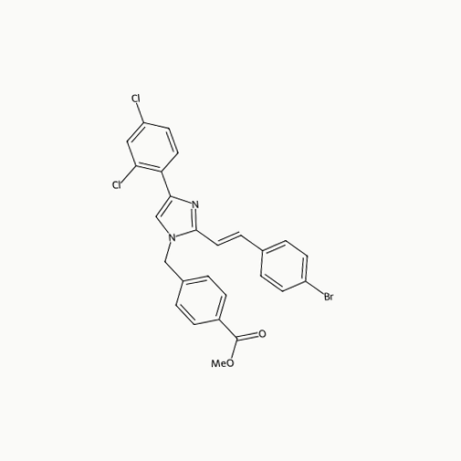 COC(=O)c1ccc(Cn2cc(-c3ccc(Cl)cc3Cl)nc2/C=C/c2ccc(Br)cc2)cc1